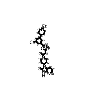 CCN1CCC(c2cc(Cl)cc(-c3nnc(CC(=O)N4CCC(n5c(=O)[nH]c6ncccc65)CC4)o3)c2)CC1